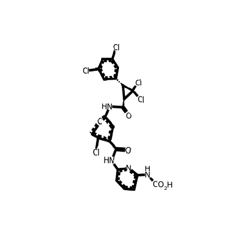 O=C(O)Nc1cccc(NC(=O)c2cc(NC(=O)[C@H]3[C@H](c4cc(Cl)cc(Cl)c4)C3(Cl)Cl)ccc2Cl)n1